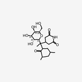 CC1CC(C)C(=O)C(C(C)(C2CC(=O)NC(=O)C2)[C@@H]2O[C@H](CO)[C@H](O)[C@H](O)[C@H]2O)C1